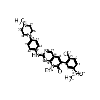 CCn1c(=O)c(-c2cc([S+](C)[O-])ccc2Cl)cc2cnc(Nc3ccc(N4CCN(C)CC4)cc3)nc21